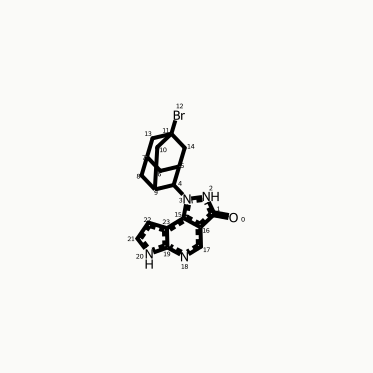 O=c1[nH]n(C2C3CC4CC2CC(Br)(C4)C3)c2c1cnc1[nH]ccc12